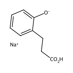 O=C(O)CCc1ccccc1[O-].[Na+]